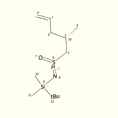 C=CC[C@H](C)C/[SH](=O)=N/[Si](C)(C)C(C)(C)C